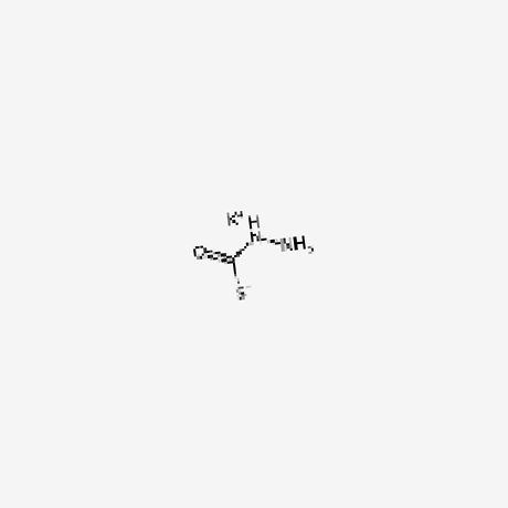 NNC(=O)[S-].[K+]